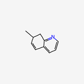 CC1C=Cc2cccnc2C1